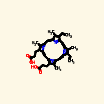 C=CC1=C(C)c2cc3nc(cc4[nH]c(cc5[nH]c(cc1n2)c(C)c5C=C)c(C)c4CCC(=O)O)C(CCC(=O)O)=C3C